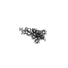 CC1(C)c2ccccc2-c2ccc(N(c3ccc4c(c3)C(C)(C)c3ccccc3-4)c3cccc4oc5c(C6(C)c7ccccc7-c7ccccc76)cccc5c34)cc21